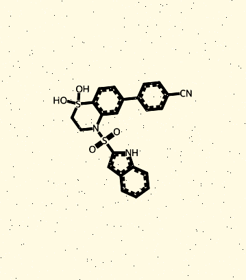 N#Cc1ccc(-c2ccc3c(c2)N(S(=O)(=O)c2cc4ccccc4[nH]2)CCS3(O)O)cc1